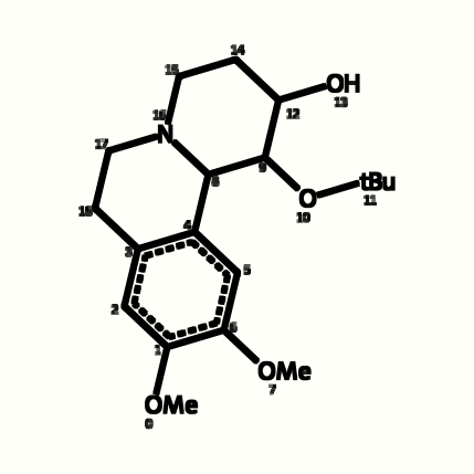 COc1cc2c(cc1OC)C1C(OC(C)(C)C)C(O)CCN1CC2